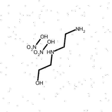 NCCNCCO.O=[N+]([O-])O.O=[N+]([O-])O